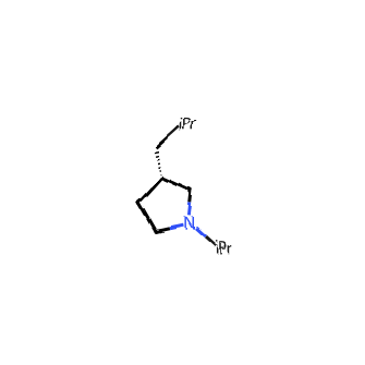 CC(C)C[C@H]1CCN(C(C)C)C1